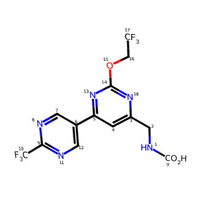 O=C(O)NCc1cc(-c2cnc(C(F)(F)F)nc2)nc(OCC(F)(F)F)n1